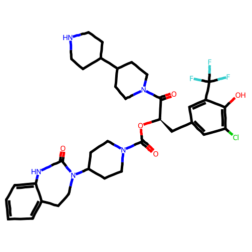 O=C(O[C@H](Cc1cc(Cl)c(O)c(C(F)(F)F)c1)C(=O)N1CCC(C2CCNCC2)CC1)N1CCC(N2CCc3ccccc3NC2=O)CC1